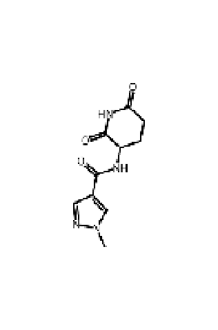 Cn1cc(C(=O)NC2CCC(=O)NC2=O)cn1